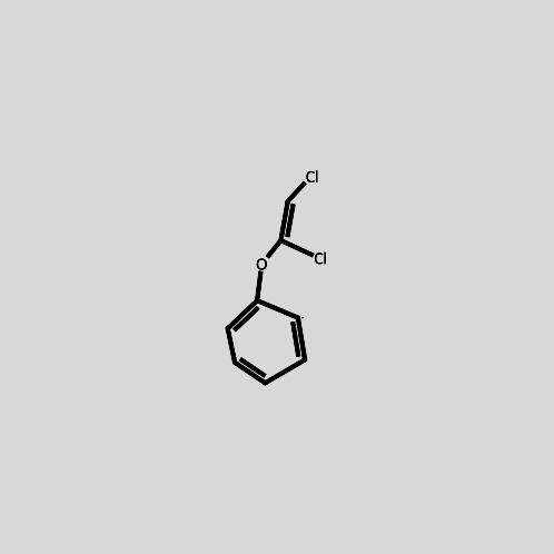 ClC=C(Cl)Oc1[c]cccc1